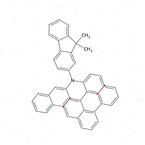 CC1(C)c2ccccc2-c2ccc(N(c3ccc4ccccc4c3)c3ccccc3-c3cccc4cccc(-c5ccccc5)c34)cc21